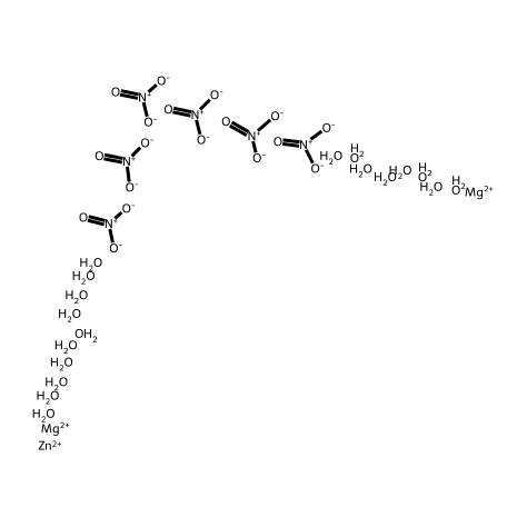 O.O.O.O.O.O.O.O.O.O.O.O.O.O.O.O.O.O.O=[N+]([O-])[O-].O=[N+]([O-])[O-].O=[N+]([O-])[O-].O=[N+]([O-])[O-].O=[N+]([O-])[O-].O=[N+]([O-])[O-].[Mg+2].[Mg+2].[Zn+2]